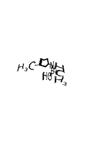 CB(O)N[C@H]1CC[C@@H](C)C1